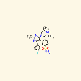 CC1CN(c2nc(C(F)(F)F)nc(-c3ccc(F)cc3)c2-c2cccc(S(N)(=O)=O)c2)CC(C)N1